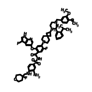 COc1ccc(CN2CCN(C3CC4(CCN(c5cc(Oc6cnc7[nH]cc(F)c7c6)c(C(=O)NS(=O)(=O)c6ccc(NCC7(F)CCOCC7)c(N)c6)cc5F)CC4)C3)[C@H](c3ccccc3C(C)C)C2)cc1OC